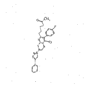 CC(=O)CCCCc1nc2cc(-n3cc(-c4ccccc4)nn3)ccc2c(=O)n1-c1ccc(F)cc1